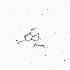 Cn1nc2c(N)nc(C3CC3)nc2c1OP